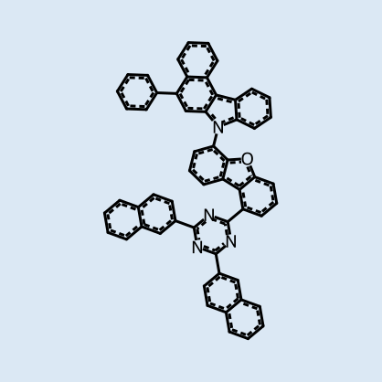 c1ccc(-c2cc3c(c4ccccc24)c2ccccc2n3-c2cccc3c2oc2cccc(-c4nc(-c5ccc6ccccc6c5)nc(-c5ccc6ccccc6c5)n4)c23)cc1